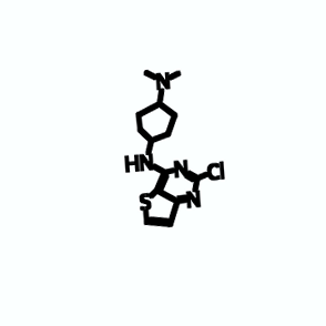 CN(C)C1CCC(Nc2nc(Cl)nc3ccsc23)CC1